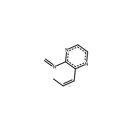 C=Nc1nccnc1/C=C\C